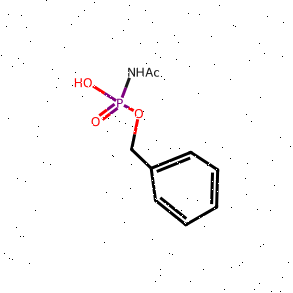 CC(=O)NP(=O)(O)OCc1ccccc1